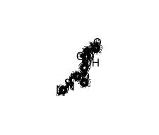 Cc1ccc(-c2ncc(CN3CC[C@@H](C(=O)N4CCC(O)(Cn5cnc6c(ccn6-c6cccc(=O)n6C)c5=O)CC4)[C@H](c4ccccc4)C3)s2)cn1